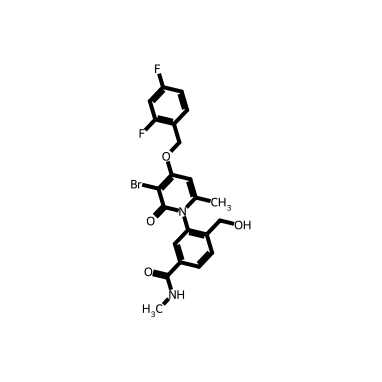 CNC(=O)c1ccc(CO)c(-n2c(C)cc(OCc3ccc(F)cc3F)c(Br)c2=O)c1